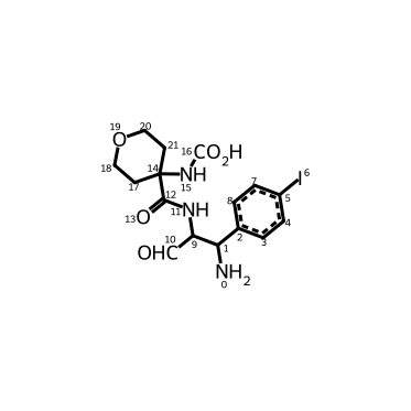 NC(c1ccc(I)cc1)C(C=O)NC(=O)C1(NC(=O)O)CCOCC1